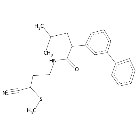 CSC(C#N)CCNC(=O)C(CC(C)C)c1cccc(-c2ccccc2)c1